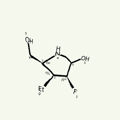 CC[C@@H]1[C@H](F)C(O)N[C@@H]1CO